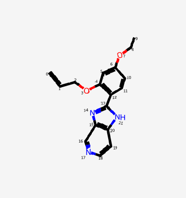 C=CCOc1cc(OCC)ccc1-c1nc2cnccc2[nH]1